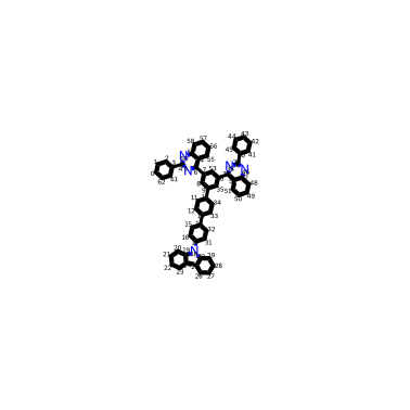 c1ccc(-c2nc(-c3cc(-c4ccc(-c5ccc(-n6c7ccccc7c7ccccc76)cc5)cc4)cc(-c4nc(-c5ccccc5)nc5ccccc45)c3)c3ccccc3n2)cc1